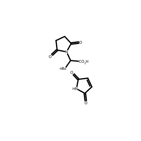 CCCCC(C(=O)O)N1C(=O)CCC1=O.O=C1C=CC(=O)N1